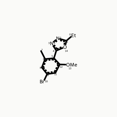 CCc1nnc(-c2c(C)cc(Br)cc2OC)o1